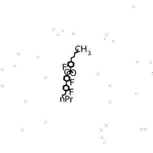 C/C=C/CCc1ccc(C(=O)Oc2ccc(-c3ccc(/C=C/CCC)c(F)c3)c(F)c2)c(F)c1